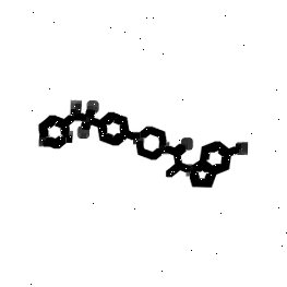 CC(C(=O)N1CCN(c2ccc(S(=O)(=O)Nc3ccncn3)cc2)CC1)n1ccc2cc(Cl)ccc21